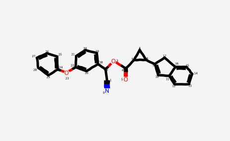 N#CC(OC(=O)C1CC1C1=Cc2ccccc2C1)c1cccc(Oc2ccccc2)c1